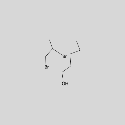 CC(Br)CBr.CCCCCO